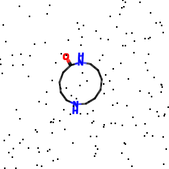 O=C1CCCCNCCCCCCN1